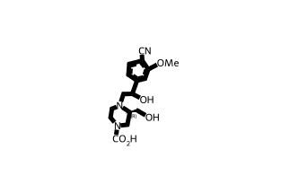 COc1cc(C(O)CN2CCN(C(=O)O)C[C@@H]2CO)ccc1C#N